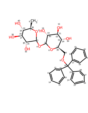 [CH2][C@H]1OC(OC2O[C@H](COC(c3ccccc3)(c3ccccc3)c3ccccc3)[C@@H](O)[C@H](O)[C@H]2O)[C@H](O)[C@@H](O)[C@@H]1O